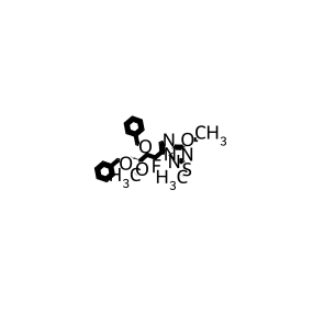 CCOc1nc(SC)nn2c([C@H](F)[C@H](OCc3ccccc3)[C@@H](COCc3ccccc3)OC)cnc12